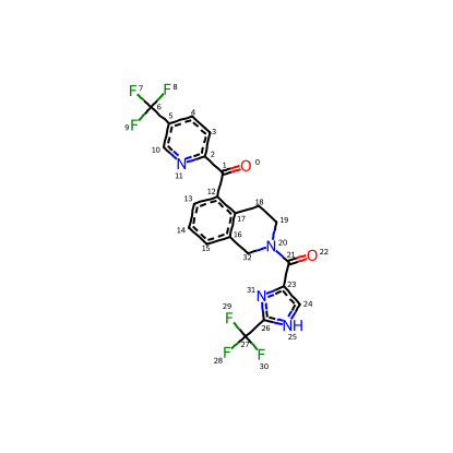 O=C(c1ccc(C(F)(F)F)cn1)c1cccc2c1CCN(C(=O)c1c[nH]c(C(F)(F)F)n1)C2